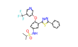 CC(C)S(=O)(=O)Nc1ccc(Oc2cncc(C(F)(F)F)c2)c(-c2nnc(-c3ccccc3)s2)c1